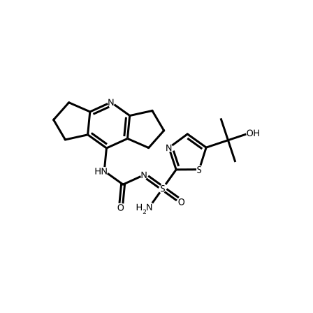 CC(C)(O)c1cnc(S(N)(=O)=NC(=O)Nc2c3c(nc4c2CCC4)CCC3)s1